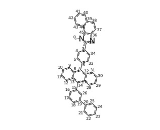 Cn1c(-c2ccc(-c3c4ccccc4c(-c4cccc(-c5ccccc5)c4)c4ccccc34)cc2)nc2ccc3ccccc3c21